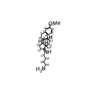 COc1ccc2c(c1)CC[C@@H]1[C@@H]2CC[C@]2(C)[C@@H](NCCCCN)CC[C@@H]12